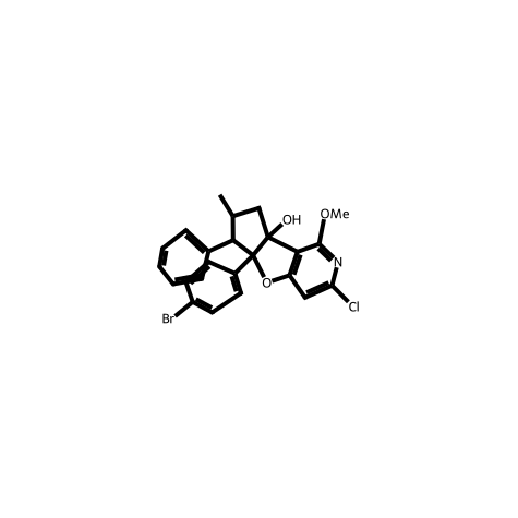 COc1nc(Cl)cc2c1C1(O)CC(C)C(c3ccccc3)C1(c1ccc(Br)cc1)O2